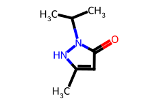 Cc1cc(=O)n(C(C)C)[nH]1